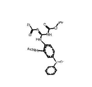 CCC(=O)N=C(NC(=O)OC(C)C)Nc1ccc([S+]([O-])c2ccccc2)cc1NC(C)=O